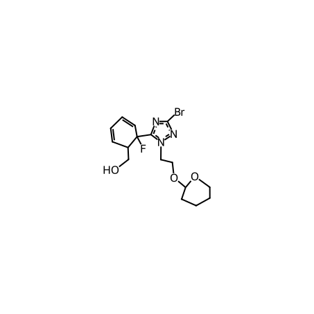 OCC1C=CC=CC1(F)c1nc(Br)nn1CCOC1CCCCO1